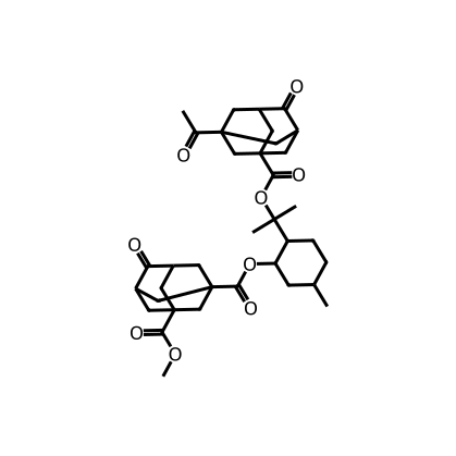 COC(=O)C12CC3CC(C(=O)OC4CC(C)CCC4C(C)(C)OC(=O)C45CC6CC(C(C)=O)(CC(C4)C6=O)C5)(CC(C1)C3=O)C2